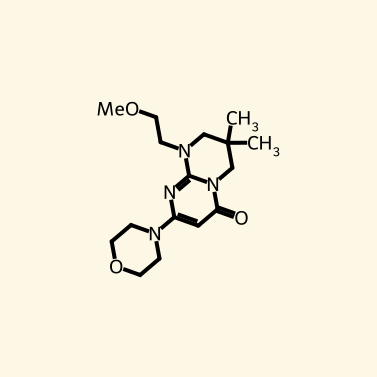 COCCN1CC(C)(C)Cn2c1nc(N1CCOCC1)cc2=O